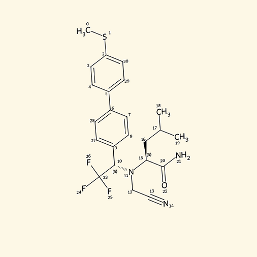 CSc1ccc(-c2ccc([C@H](N(CC#N)[C@@H](CC(C)C)C(N)=O)C(F)(F)F)cc2)cc1